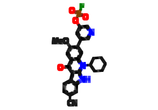 COc1cc2c(=O)c3c4ccc(C#N)cc4[nH]c3n(C3CCCCC3)c2cc1-c1cncc(OS(=O)(=O)F)c1